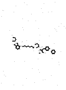 Nc1ncnc2c1c(-c1ccc(Oc3ccccc3)cc1)nn2[C@@H]1CCCN(C(=O)CCCCCCSc2cccc3c2CN(C2CCC(=O)NC2=O)C3=O)C1